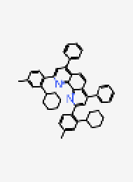 Cc1ccc(-c2cc(-c3ccccc3)c3ccc4c(-c5ccccc5)cc(-c5ccc(C)cc5C5CCCCC5)nc4c3n2)c(C2CCCCC2)c1